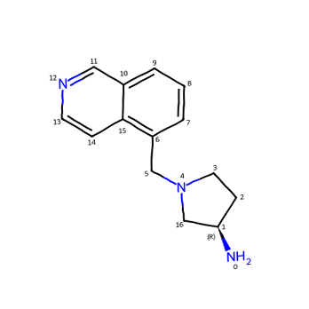 N[C@@H]1CCN(Cc2cccc3cnccc23)C1